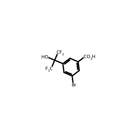 O=C(O)c1cc(Br)cc(C(O)(C(F)(F)F)C(F)(F)F)c1